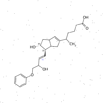 CC(CCCC(=O)O)C1=CC2C[C@@H](O)[C@H](/C=C/C(O)COc3ccccc3)C2C1